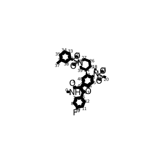 CNC(=O)c1c(-c2ccc(F)cc2)oc2cc(N(C)S(C)(=O)=O)c([C@@H]3CCCN(S(=O)(=O)c4cccc(C)c4)C3)cc12